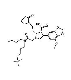 CCCCN(CCCC[N+](C)(C)C)C(=O)CN1C[C@H](c2cc(OC)c3c(c2)OCO3)[C@H](C(=O)O)[C@H]1CCN1CCCC1=O